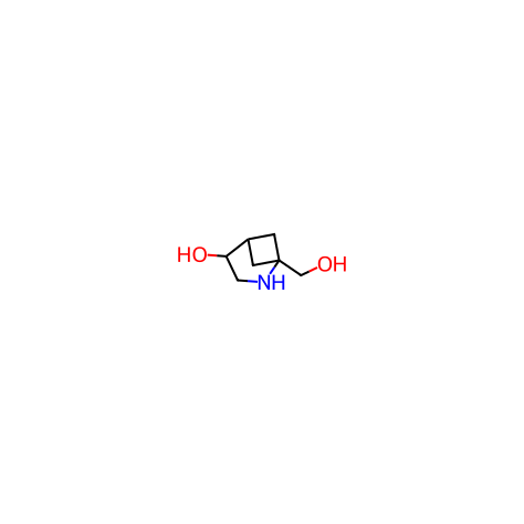 OCC12CC(C1)C(O)CN2